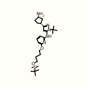 CC(C)(C)n1nc([C@H]2CC[C@@H](N)C2)cc1Nc1cccc(OCCCCO[Si](C)(C)C(C)(C)C)n1